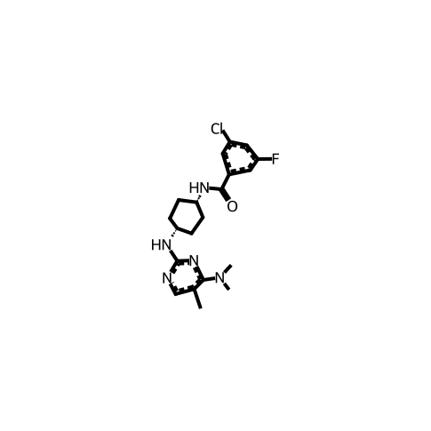 Cc1cnc(N[C@H]2CC[C@@H](NC(=O)c3cc(F)cc(Cl)c3)CC2)nc1N(C)C